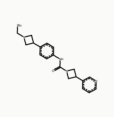 CC(C)(C)CN1CC(c2ccc(NC(=O)N3CC(c4cccnc4)C3)cc2)C1